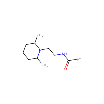 CC(C)C(=O)NCCN1C(C)CCCC1C